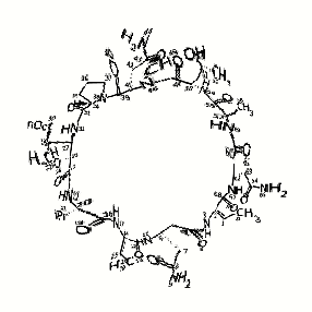 C/C=C1/NC(=O)[C@H](CC(N)=O)NC(=O)/C(=C\C)NC(=O)[C@H](C(C)C)NC(=O)[C@H](O)[C@@H]([C@@H](C)CCCCCCCC)NC(=O)[C@@H]2CCCN2C(=O)[C@H](CC(N)=O)N(C)C(=O)[C@H]([C@@H](C)O)NC(=O)[C@@H](C)NC(=O)[C@H](CC(N)=O)NC1=O